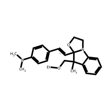 CCOCC1(C)c2ccccc2N2CCOC21/C=C/c1ccc(N(C)C)cc1